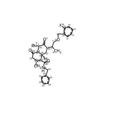 CCC(C)[C@H]1C(=O)N(C(C)COCc2ccccc2F)C[C@H]2N1C(=O)CN(C)N2C(=O)NCc1ccccc1